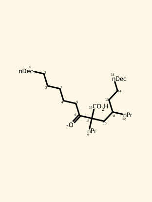 CCCCCCCCCCCCCCCC(=O)C(CCC)(CC(CCC)CCCCCCCCCCCC)C(=O)O